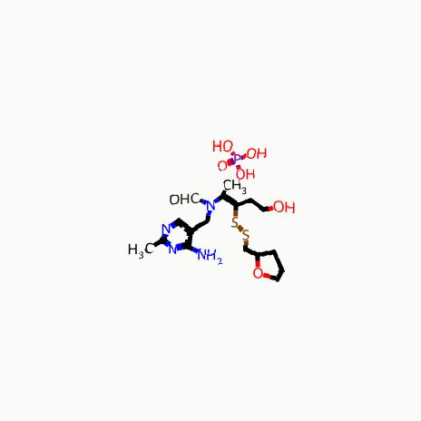 CC(=C(CCO)SSCC1CCCO1)N(C=O)Cc1cnc(C)nc1N.O=P(O)(O)O